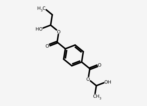 CCC(O)OC(=O)c1ccc(C(=O)OC(C)O)cc1